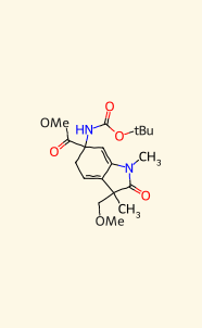 COCC1(C)C(=O)N(C)C2=CC(NC(=O)OC(C)(C)C)(C(=O)OC)CC=C21